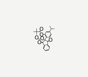 CC(C)c1ccc(C2(OC=O)C(=O)c3ccccc3C2=O)c(OC(=O)C(C)(C)C)c1